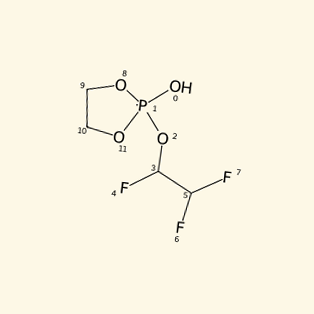 O[P]1(OC(F)C(F)F)OCCO1